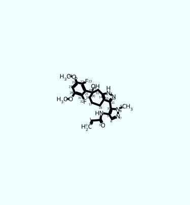 C=CC(=O)Nc1cnn(C)c1-c1n[nH]c2c1CCC[C@](O)(c1c(F)c(OC)cc(OC)c1F)C2